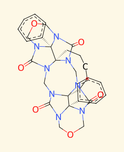 O=C1N2CN3C(=O)N4COCN5C(=O)N6CN7C(=O)N8COCN1[C@]8(c1ccccc1)[C@@]72CCCCC[C@]36[C@@]54c1ccccc1